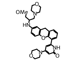 COCC(CN1CCOCC1)Nc1ccc2c(c1)Cc1cccc(-c3cc(N4CCOCC4)cc(=O)[nH]3)c1O2